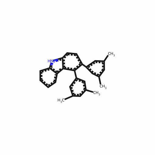 Cc1cc(C)cc(-c2ccc3[nH]c4ccccc4c3c2-c2cc(C)cc(C)c2)c1